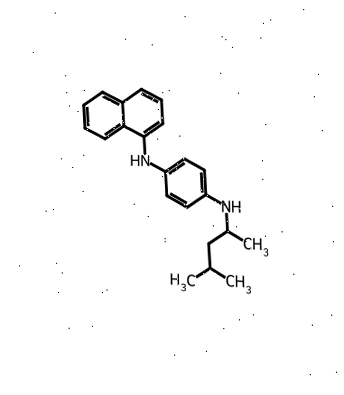 CC(C)CC(C)Nc1ccc(Nc2cccc3ccccc23)cc1